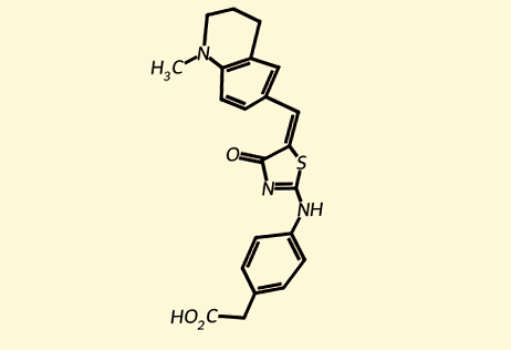 CN1CCCc2cc(C=C3SC(Nc4ccc(CC(=O)O)cc4)=NC3=O)ccc21